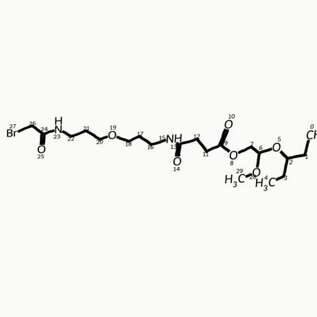 CCC(CC)OC(COC(=O)CCC(=O)NCCCOCCCNC(=O)CBr)OC